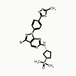 Cc1nnc(-c2ccc(-n3nc(Br)c4cnc(N[C@@H]5CC[C@@H](P(C)(C)=O)C5)nc43)cc2)s1